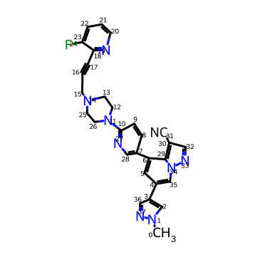 Cn1cc(-c2cc(-c3ccc(N4CCN(CC#Cc5ncccc5F)CC4)nc3)c3c(C#N)cnn3c2)cn1